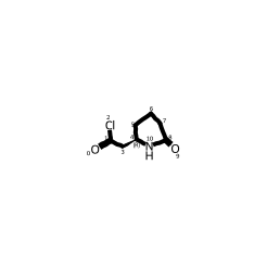 O=C(Cl)C[C@H]1CCCC(=O)N1